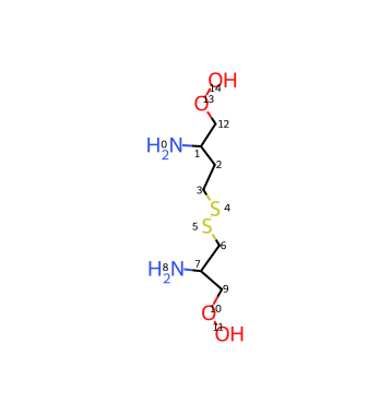 NC(CCSSCC(N)COO)COO